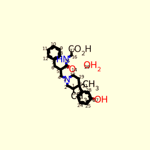 C[C@H]1CN(CC(Cc2ccccc2)C(=O)NCC(=O)O)CC[C@@]1(C)c1cccc(O)c1.O